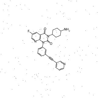 NC1CCC(n2c(=O)c3cc(F)cnc3n(-c3cccc(C#Cc4cccnc4)c3)c2=O)CC1